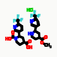 COC(=O)C1CCNC(c2ccc(C(F)(F)F)nc2)C1.Cl.O=C(O)C1CCN(C(=O)O)C(c2ccc(C(F)(F)F)nc2)C1